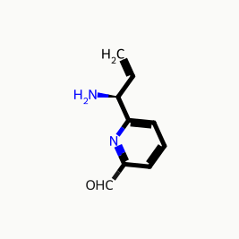 C=C[C@H](N)c1cccc(C=O)n1